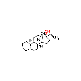 C=C[C@]1(O)CC[C@H]2[C@@H]3CCC4=C(CCCC4)[C@H]3CC[C@@]21C